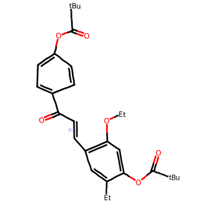 CCOc1cc(OC(=O)C(C)(C)C)c(CC)cc1/C=C/C(=O)c1ccc(OC(=O)C(C)(C)C)cc1